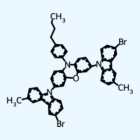 CCCCc1ccc(N2c3ccc(-n4c5ccc(C)cc5c5cc(Br)ccc54)cc3Oc3cc(-n4c5ccc(C)cc5c5cc(Br)ccc54)ccc32)cc1